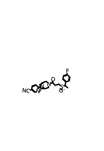 CC(c1ccc(F)cc1)[S+]([O-])CCC(=O)N1CC2C[C@H](C)C(C1)N2c1ccc(C#N)cn1